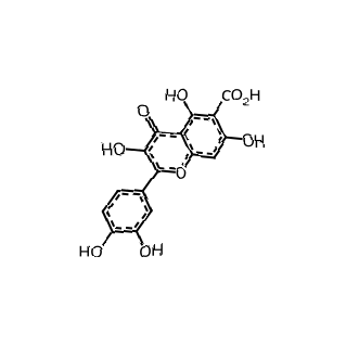 O=C(O)c1c(O)cc2oc(-c3ccc(O)c(O)c3)c(O)c(=O)c2c1O